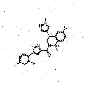 C[C@@H]1c2ccc(O)cc2[C@@H](c2cnn(C)c2)CN1C(=O)c1cc(-c2ccc(F)cc2F)on1